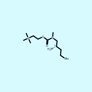 CN(C[C@@H](N)CCC(C)(C)C)C(=O)OCC[Si](C)(C)C